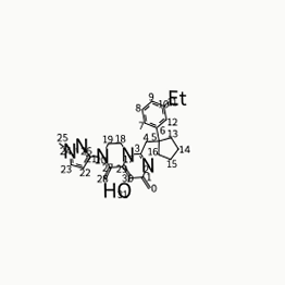 C=C1N=C(CC2(c3cccc(CC)c3)CCCC2)N2CCN(c3ccn(C)n3)C(=C)C2=C1O